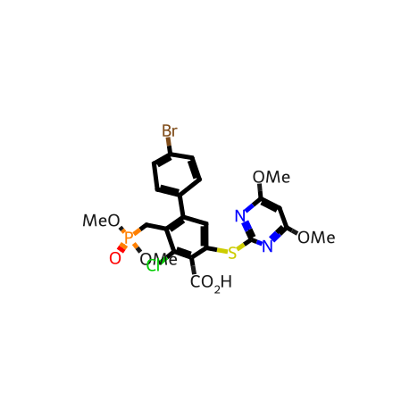 COc1cc(OC)nc(Sc2cc(-c3ccc(Br)cc3)c(CP(=O)(OC)OC)c(Cl)c2C(=O)O)n1